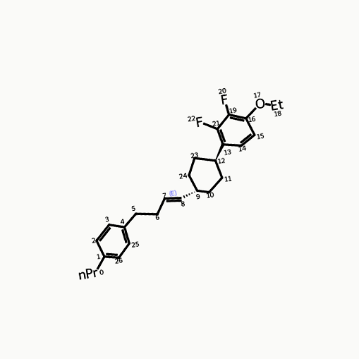 CCCc1ccc(CC/C=C/[C@H]2CC[C@H](c3ccc(OCC)c(F)c3F)CC2)cc1